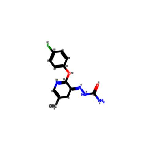 NC(=O)NN=C1CC(C=O)=CN=C1Oc1ccc(F)cc1